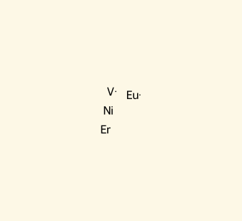 [Er].[Eu].[Ni].[V]